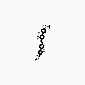 CCOCc1ccc(-c2ccc(/C=C/c3ccc(-c4ccc(O)cc4)c(F)c3F)cc2)c(F)c1